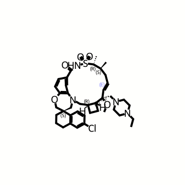 CCN1CCN(C[C@@]2(OC)/C=C/C[C@H](C)[C@@H](C)S(=O)(=O)NC(=O)c3ccc4c(c3)N(C[C@@H]3CC[C@H]32)C[C@@]2(CCCc3cc(Cl)ccc32)CO4)CC1